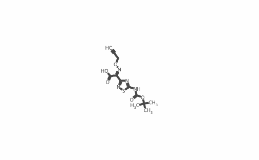 C#CCO/N=C(\C(=O)O)c1nsc(NC(=O)OC(C)(C)C)n1